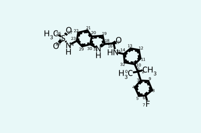 CC(C)(c1ccc(F)cc1)c1cccc(NC(=O)c2cc3ccc(NS(C)(=O)=O)cc3[nH]2)c1